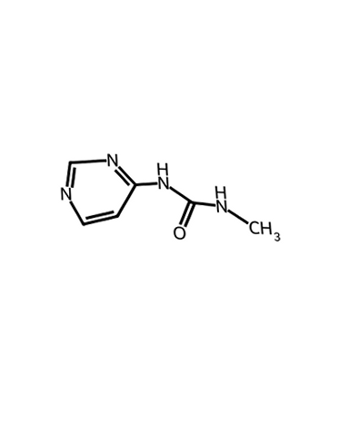 CNC(=O)Nc1ccncn1